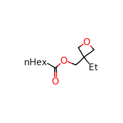 CCCCCCC(=O)OCC1(CC)COC1